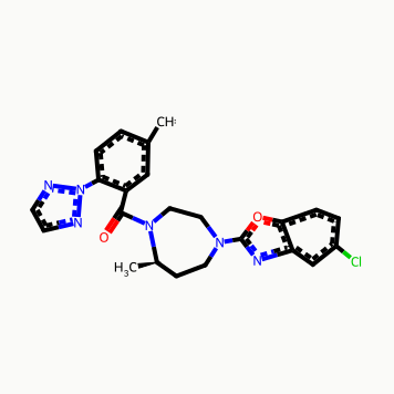 [CH]c1ccc(-n2nccn2)c(C(=O)N2CCN(c3nc4cc(Cl)ccc4o3)CC[C@H]2C)c1